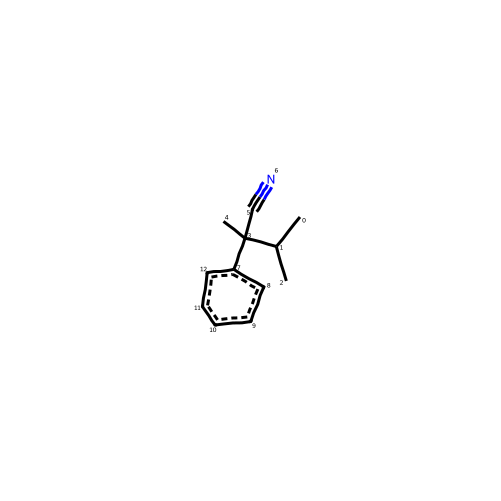 CC(C)C(C)(C#N)c1ccccc1